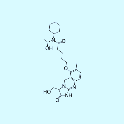 Cc1ccc2c(c1OCCCCC(=O)N(C(C)O)C1CCCCC1)CN1C(=N2)NC(=O)C1CO